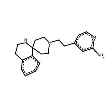 Nc1cc(CCN2CCC3(CC2)NCCc2ccccc23)ccn1